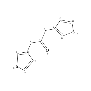 O=C(Cc1ccsc1)Cc1ccsc1